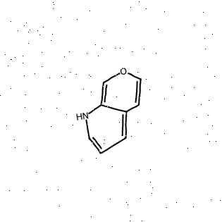 C1=CNC2=COC=CC2=C1